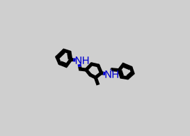 CC1CC(CNc2ccccc2)CCC1NCc1ccccc1